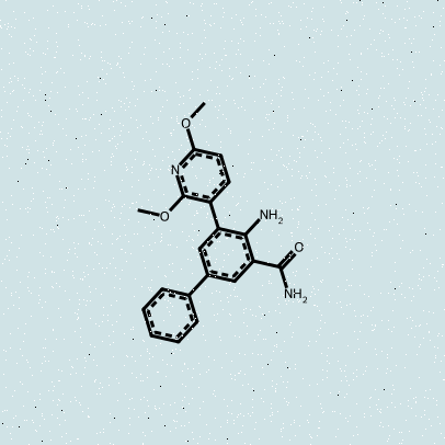 COc1ccc(-c2cc(-c3ccccc3)cc(C(N)=O)c2N)c(OC)n1